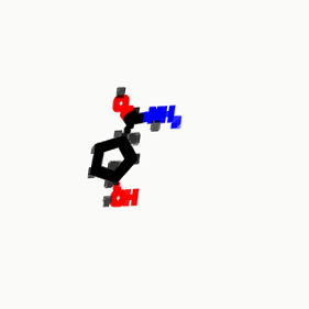 NC(=O)[C@H]1CC[C@@H](O)C1